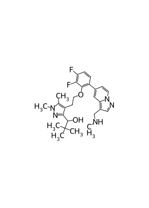 CNCc1cnn2ccc(-c3ccc(F)c(F)c3OCCc3c(C(O)C(C)(C)C)nn(C)c3C)cc12